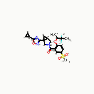 CC(Oc1ccc(S(C)(=O)=O)cc1C(=O)N1CC2CC2(c2noc(C3CC3)n2)C1)C(C)(F)F